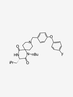 CCCCN1C(=O)[C@H](CC(C)C)NC(=O)C12CCN(Cc1ccc(Oc3ccc(F)cc3)cc1)CC2